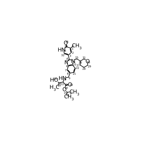 Cc1cc(-c2nc3cc(CNC(C(=O)OC(C)C)C(C)O)ccc3n2CC2CCCOC2)c[nH]c1=O